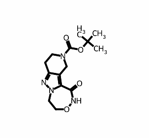 CC(C)(C)OC(=O)N1CCc2nn3c(c2C1)C(=O)NOCC3